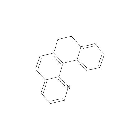 c1ccc2c(c1)CCc1ccc3cccnc3c1-2